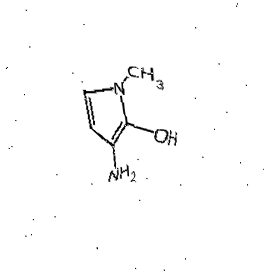 Cn1ccc(N)c1O